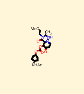 COCCN1C(=O)c2c(OC(=O)Oc3ccc(NC(C)=O)cc3)c(=O)ccn2N[C@@H]1C